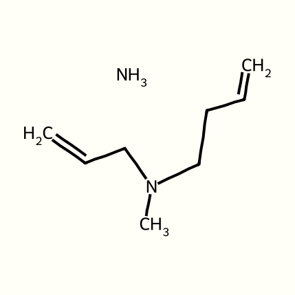 C=CCCN(C)CC=C.N